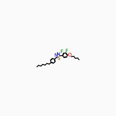 CCCCCCCc1ccc(-c2nnc(-c3ccc(OCCCCC)c(F)c3F)s2)cc1